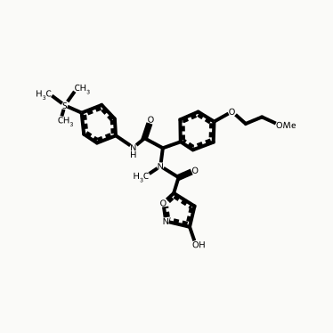 COCCOc1ccc(C(C(=O)Nc2ccc(S(C)(C)C)cc2)N(C)C(=O)c2cc(O)no2)cc1